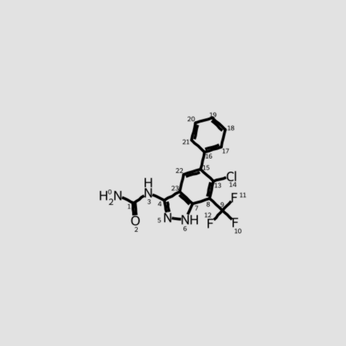 NC(=O)Nc1n[nH]c2c(C(F)(F)F)c(Cl)c(-c3ccccc3)cc12